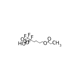 CCC(=O)OCCCCC(F)(F)C(F)(F)S(=O)(=O)O